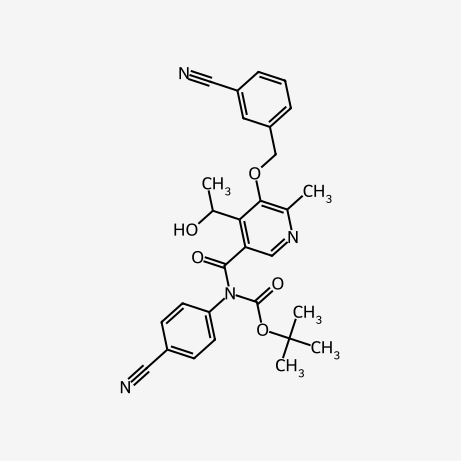 Cc1ncc(C(=O)N(C(=O)OC(C)(C)C)c2ccc(C#N)cc2)c(C(C)O)c1OCc1cccc(C#N)c1